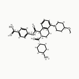 COC1CCN(c2cccc3c2CCN(C(=O)[C@H]2CC[C@H](N)CC2)C3C(=O)Nc2ccc(C(=O)O)cc2)CC1